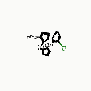 CCCCC1=[C]([Ti][C]2=C(CCCC)C=CC2)CC=C1.Clc1ccccc1